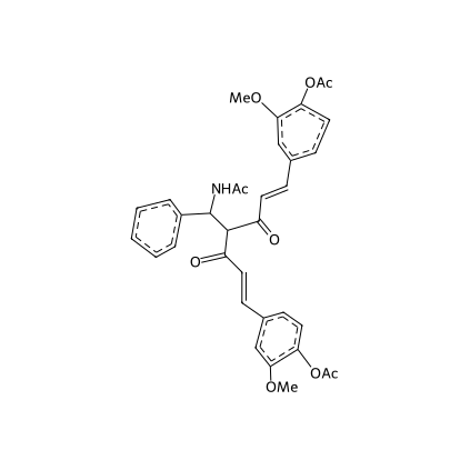 COc1cc(/C=C/C(=O)C(C(=O)/C=C/c2ccc(OC(C)=O)c(OC)c2)C(NC(C)=O)c2ccccc2)ccc1OC(C)=O